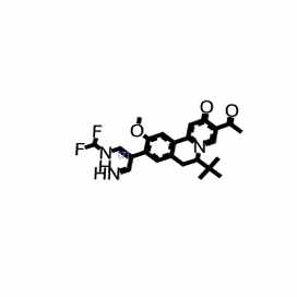 COc1cc2c(cc1/C(C=N)=C/NC(F)F)CC(C(C)(C)C)n1cc(C(C)=O)c(=O)cc1-2